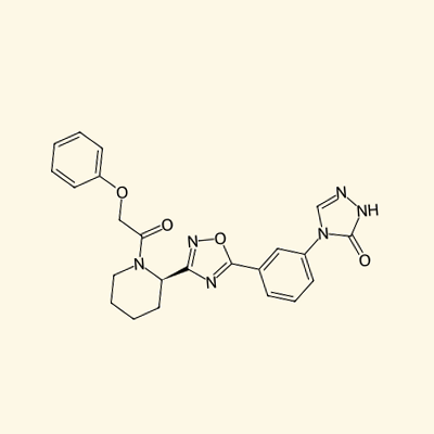 O=C(COc1ccccc1)N1CCCC[C@@H]1c1noc(-c2cccc(-n3cn[nH]c3=O)c2)n1